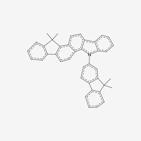 CC1(C)c2ccccc2-c2ccc(-n3c4ccccc4c4ccc5c6c(ccc5c43)-c3ccccc3C6(C)C)cc21